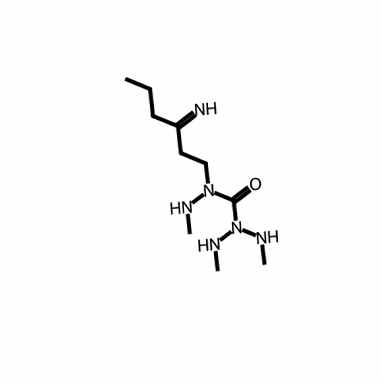 CCCC(=N)CCN(NC)C(=O)N(NC)NC